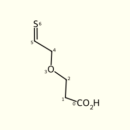 O=C(O)CCOCC=S